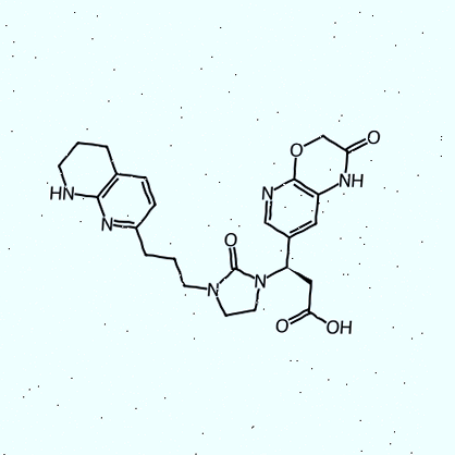 O=C(O)C[C@H](c1cnc2c(c1)NC(=O)CO2)N1CCN(CCCc2ccc3c(n2)NCCC3)C1=O